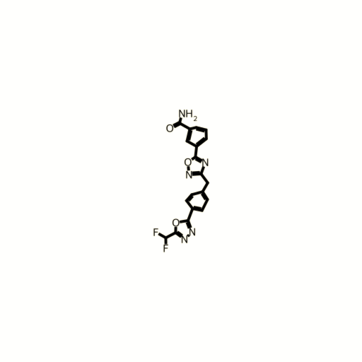 NC(=O)c1cccc(-c2nc(Cc3ccc(-c4nnc(C(F)F)o4)cc3)no2)c1